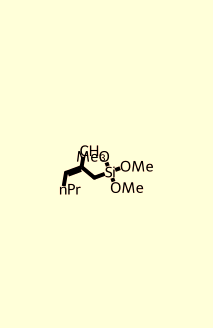 CCCC=C(C)C[Si](OC)(OC)OC